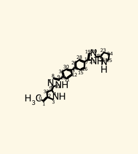 CC=C1CNC(c2ncc(-c3ccc(-c4ccc(-c5cnc(C6CCCN6)[nH]5)cc4)cc3)[nH]2)C1